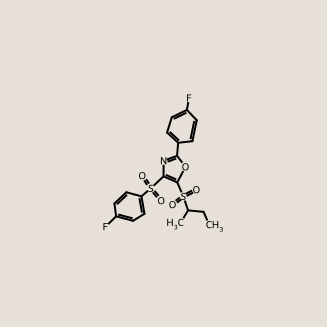 CCC(C)S(=O)(=O)c1oc(-c2ccc(F)cc2)nc1S(=O)(=O)c1ccc(F)cc1